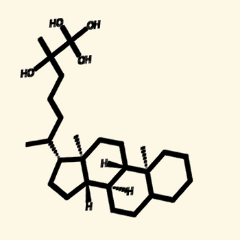 CC(CCCC(C)(O)C(O)(O)O)[C@H]1CC[C@H]2[C@@H]3CCC4CCCC[C@]4(C)[C@H]3CC[C@]12C